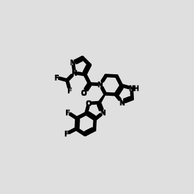 O=C(c1ccnn1C(F)F)N1CCc2[nH]cnc2[C@H]1c1nc2ccc(F)c(F)c2o1